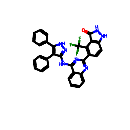 O=c1[nH][nH]c2ccc(-c3nc(Nc4n[nH]c(-c5ccccc5)c4-c4ccccc4)c4ccccc4n3)c(C(F)(F)F)c12